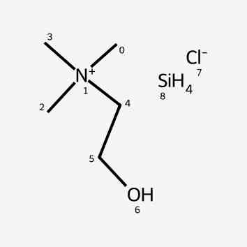 C[N+](C)(C)CCO.[Cl-].[SiH4]